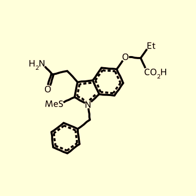 CCC(Oc1ccc2c(c1)c(CC(N)=O)c(SC)n2Cc1ccccc1)C(=O)O